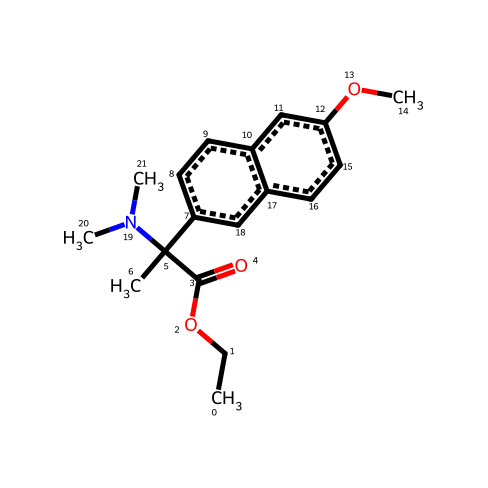 CCOC(=O)C(C)(c1ccc2cc(OC)ccc2c1)N(C)C